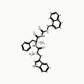 C[C@@](Cc1ccccc1)(NC(=O)[C@@H](N)Cc1c[nH]c2ccccc12)C(=O)NC(=O)OCc1cccc2ccccc12